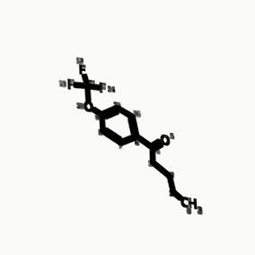 CCCCC(=O)c1ccc(OC(F)(F)F)cc1